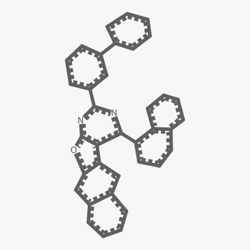 c1ccc(-c2cccc(-c3nc(-c4cccc5ccccc45)c4c(n3)oc3cc5ccccc5cc34)c2)cc1